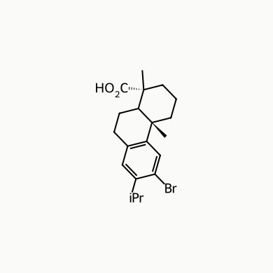 CC(C)c1cc2c(cc1Br)[C@@]1(C)CCC[C@@](C)(C(=O)O)C1CC2